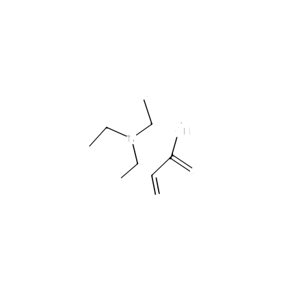 C=CC(=O)O.CCN(CC)CC